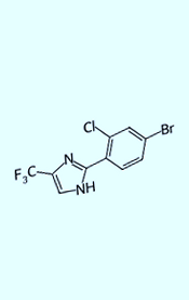 FC(F)(F)c1c[nH]c(-c2ccc(Br)cc2Cl)n1